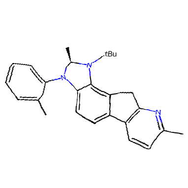 Cc1ccc2c(n1)Cc1c-2ccc2c1N(C(C)(C)C)[C@H](C)N2c1ccccc1C